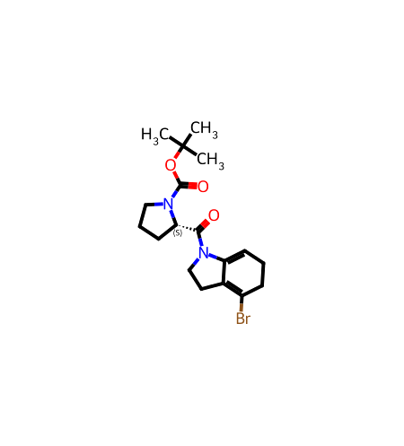 CC(C)(C)OC(=O)N1CCC[C@H]1C(=O)N1CCC2=C(Br)CCC=C21